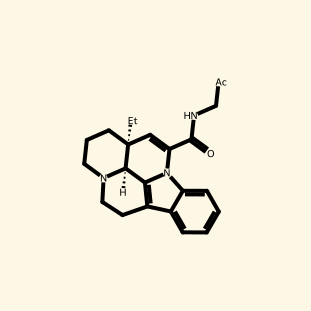 CC[C@@]12C=C(C(=O)NCC(C)=O)n3c4c(c5ccccc53)CCN(CCC1)[C@H]42